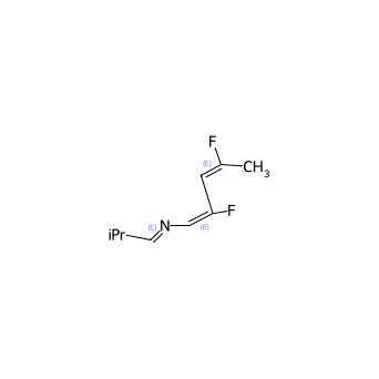 C\C(F)=C/C(F)=C\N=C\C(C)C